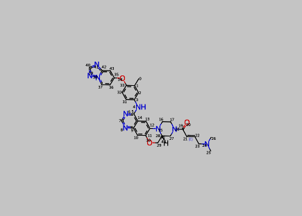 Cc1cc(Nc2ncnc3cc4c(cc23)N2CCN(C(=O)/C=C/CN(C)C)C[C@@H]2CO4)ccc1Oc1ccn2ncnc2c1